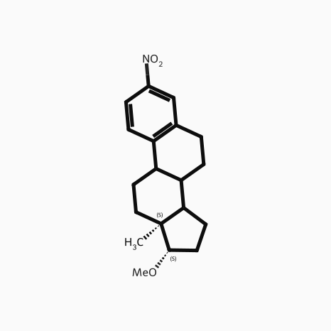 CO[C@H]1CCC2C3CCc4cc([N+](=O)[O-])ccc4C3CC[C@@]21C